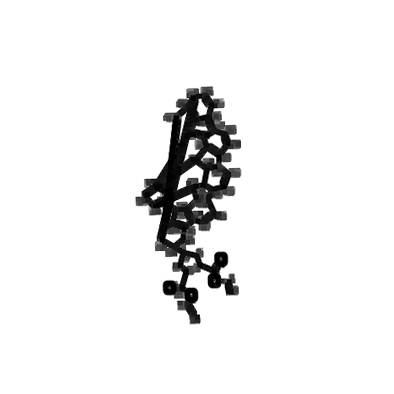 C=COC(=O)CCC1(CCC(=O)OC=C)C2c3c4c5c6c3c3c(c7ccc8c9ccc%10c%11c%12c%13c(c6c6c%13c(c%119)c8c7c36)=C3C5C(C=C4)C4C=CC%10C%12C34)C21